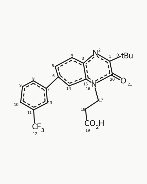 CC(C)(C)c1nc2ccc(-c3cccc(C(F)(F)F)c3)cc2n(CCC(=O)O)c1=O